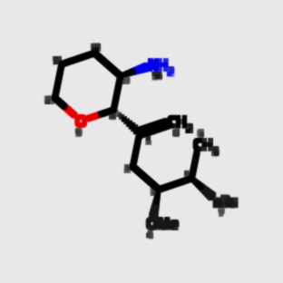 C=C(C[C@H](OC)[C@@H](C)CCCC)[C@@H]1OCCC[C@H]1N